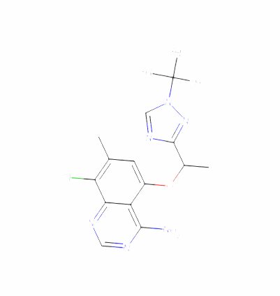 [2H]C([2H])([2H])n1cnc(C(C)Oc2cc(C)c(Cl)c3ncnc(N)c23)n1